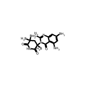 Bc1cc(N)c2c(=O)n(C3(B)CC(B)(B)C(=O)NC3=O)c(C)nc2c1